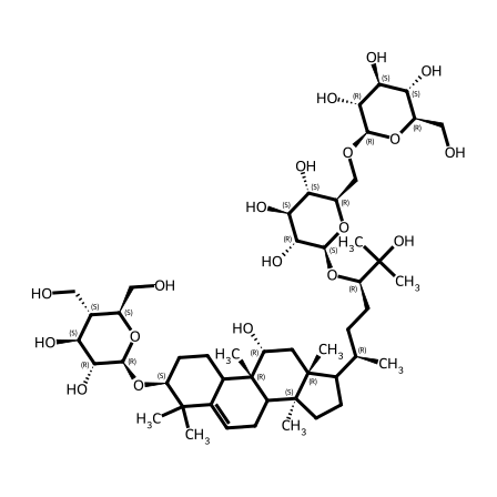 C[C@H](CC[C@@H](O[C@@H]1O[C@H](CO[C@@H]2O[C@H](CO)[C@@H](O)[C@H](O)[C@H]2O)[C@@H](O)[C@H](O)[C@H]1O)C(C)(C)O)C1CC[C@@]2(C)C3CC=C4C(CC[C@H](O[C@@H]5O[C@H](CO)[C@@H](CO)[C@H](O)[C@H]5O)C4(C)C)[C@]3(C)[C@H](O)C[C@]12C